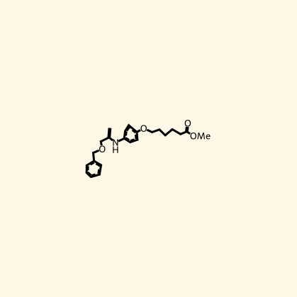 C=C(COCc1ccccc1)Nc1ccc(OCCCCCC(=O)OC)cc1